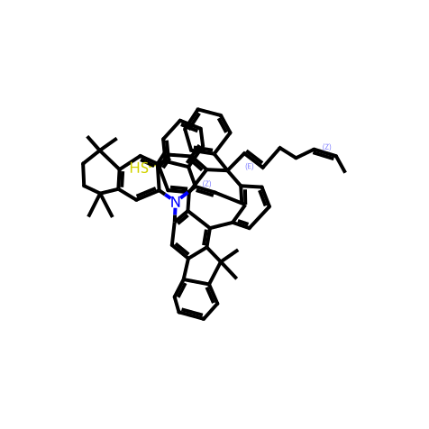 C/C=C\CC/C=C/C1(c2ccccc2)c2ccccc2-c2c3cc4c(c2-c2cccc1c2/C=C(/c1ccccc1S)N3c1cc2c(cc1C)C(C)(C)CCC2(C)C)C(C)(C)c1ccccc1-4